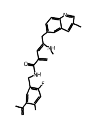 C=C(/C=C(/Cc1ccc2ncc(C)cc2c1)NC)C(=O)NCc1cc(C(=C)C)c(C)cc1F